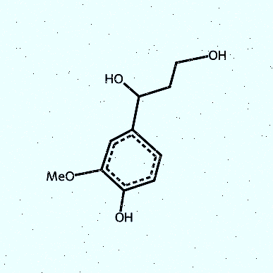 COc1cc(C(O)CCO)ccc1O